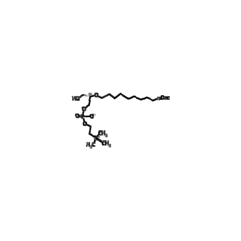 CCCCCCCCCCCCCCCCCCCO[C@@H](CO)COP(=O)([O-])OCC[N+](C)(C)C